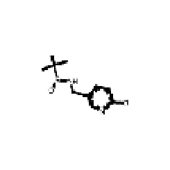 CC(C)(C)[S+]([O-])NCc1ccc(Cl)nc1